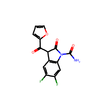 NC(=O)N1C(=O)C(C(=O)c2ccco2)c2cc(F)c(F)cc21